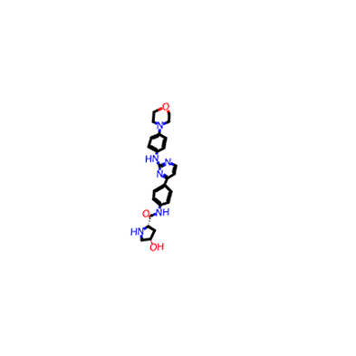 O=C(Nc1ccc(-c2ccnc(Nc3ccc(N4CCOCC4)cc3)n2)cc1)[C@@H]1C[C@H](O)CN1